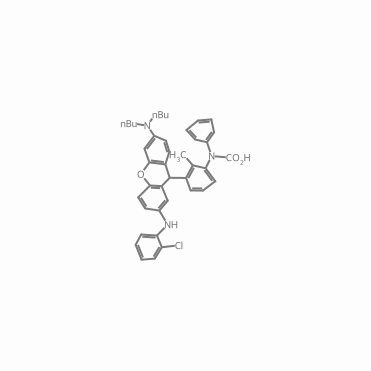 CCCCN(CCCC)c1ccc2c(c1)Oc1ccc(Nc3ccccc3Cl)cc1C2c1cccc(N(C(=O)O)c2ccccc2)c1C